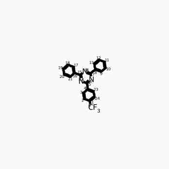 FC(F)(F)c1ccc(-c2nc(-c3ccccc3)nc(-c3ccccc3)n2)cc1